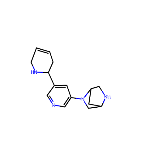 C1=CCC(c2cncc(N3CC4CC3CN4)c2)NC1